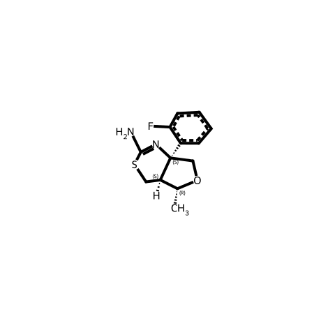 C[C@H]1OC[C@]2(c3ccccc3F)N=C(N)SC[C@H]12